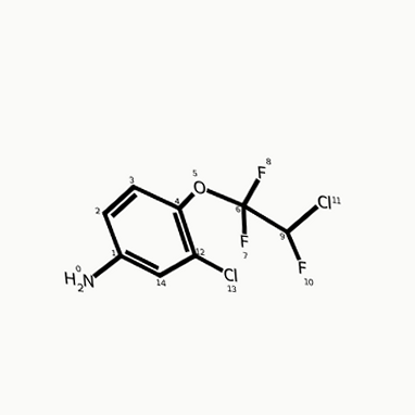 Nc1ccc(OC(F)(F)C(F)Cl)c(Cl)c1